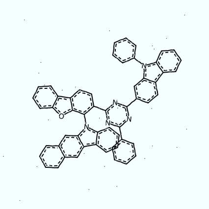 c1ccc(-c2nc(-c3ccc4c5ccccc5n(-c5ccccc5)c4c3)nc(-c3ccc4c(oc5ccccc54)c3-n3c4ccccc4c4cc5ccccc5cc43)n2)cc1